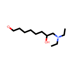 CCN(CC)CC(O)CCCCCC[O]